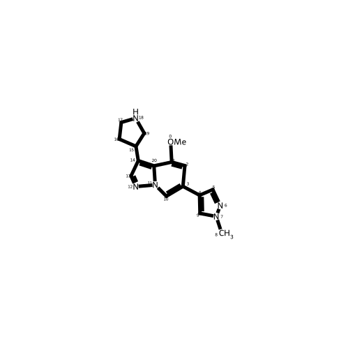 COc1cc(-c2cnn(C)c2)cn2ncc(C3CCNC3)c12